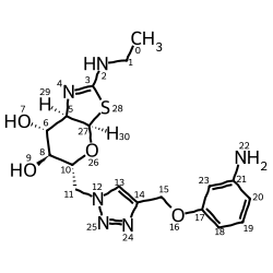 CCNC1=N[C@@H]2[C@@H](O)[C@H](O)[C@@H](Cn3cc(COc4cccc(N)c4)nn3)O[C@@H]2S1